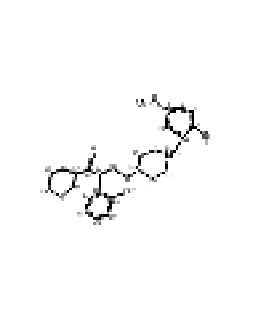 COc1ccc(Br)c(CN2CCN(CCC(C(=O)C3CCCCC3)c3ccccc3F)CC2)c1